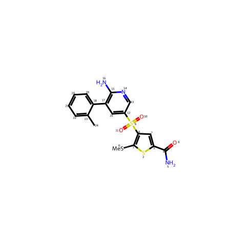 CSc1sc(C(N)=O)cc1S(=O)(=O)c1cnc(N)c(-c2ccccc2C)c1